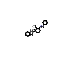 CC1(CNc2ccccc2)CCCC(/C=N/c2ccccc2)=C1Cl